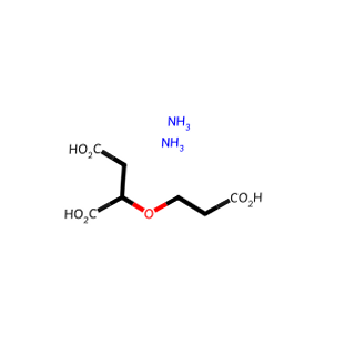 N.N.O=C(O)CCOC(CC(=O)O)C(=O)O